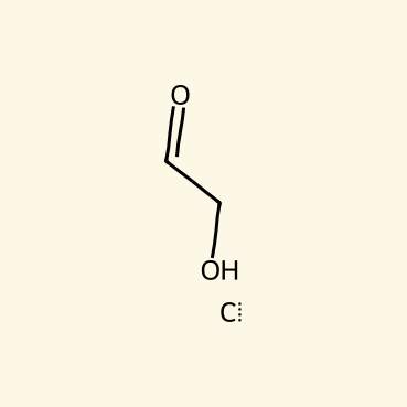 O=CCO.[C]